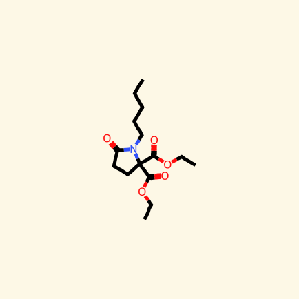 CCCCCN1C(=O)CCC1(C(=O)OCC)C(=O)OCC